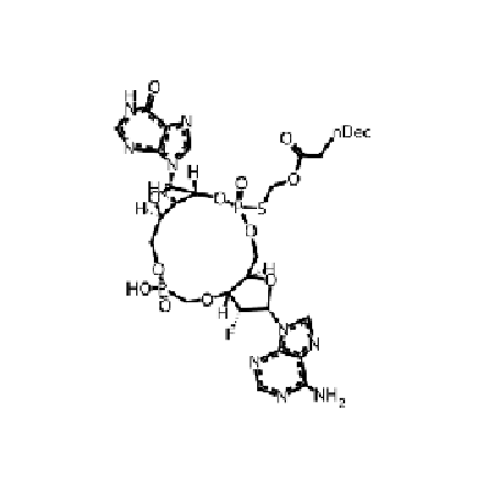 CCCCCCCCCCCC(=O)OCSP1(=O)OC[C@H]2O[C@@H](n3cnc4c(N)ncnc43)[C@H](F)[C@@H]2OCP(=O)(O)OC[C@H]2O[C@@H](n3cnc4c(=O)[nH]cnc43)[C@H](O1)[C@@H]2F